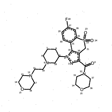 O=C(c1nn(C2CCCN(CCN3CCOCC3)C2)c2c1CS(=O)(=O)c1cc(F)ccc1-2)N1CCOCC1